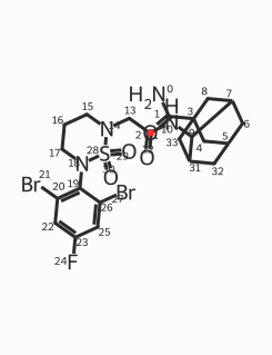 NC(=O)C12CC3CC(C1)C(NC(=O)CN1CCCN(c4c(Br)cc(F)cc4Br)S1(=O)=O)C(C3)C2